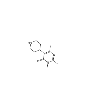 Cc1nc(C)n(C)c(=O)c1C1CCNCC1